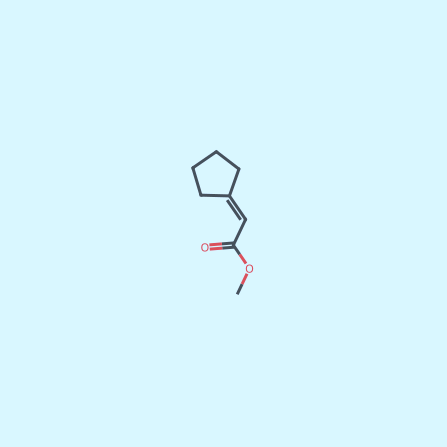 COC(=O)C=C1CCCC1